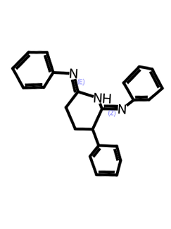 c1ccc(/N=C2\N/C(=N/c3ccccc3)CCC2c2ccccc2)cc1